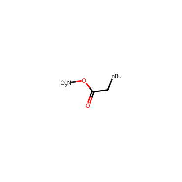 CCCCCC(=O)O[N+](=O)[O-]